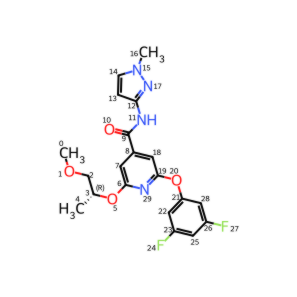 COC[C@@H](C)Oc1cc(C(=O)Nc2ccn(C)n2)cc(Oc2cc(F)cc(F)c2)n1